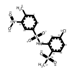 Cc1ccc(S(=O)(=O)Nc2cc(Cl)ccc2S(C)(=O)=O)cc1[N+](=O)[O-]